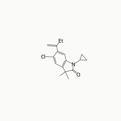 C=C(CC)c1cc2c(cc1Cl)C(C)(C)C(=O)N2C1CC1